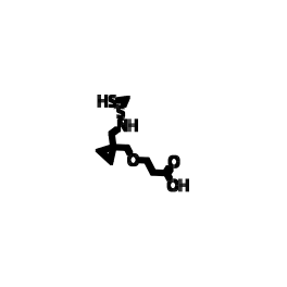 O=C(O)CCOCC1(CNS2=[SH]C2)CC1